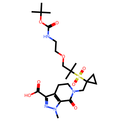 Cn1nc(C(=O)O)c2c1C(=O)N(CC1(S(=O)(=O)C(C)(C)COCCNC(=O)OC(C)(C)C)CC1)CC2